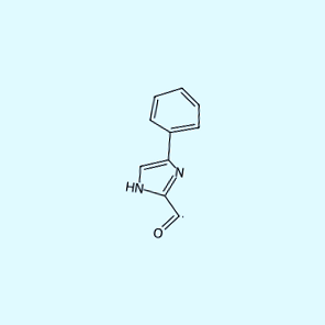 O=[C]c1nc(-c2ccccc2)c[nH]1